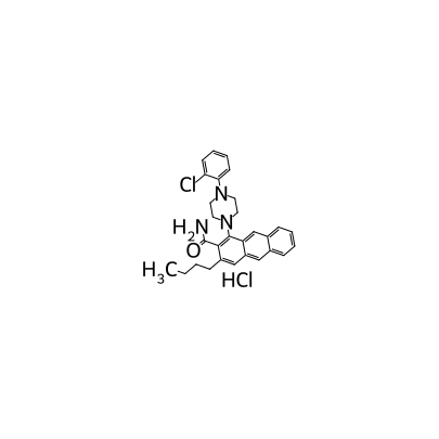 CCCCc1cc2cc3ccccc3cc2c(N2CCN(c3ccccc3Cl)CC2)c1C(N)=O.Cl